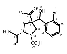 NC(=O)[C@@H]1C[C@@](C(N)=O)(C(O)c2ccccc2Br)CN1C(=O)O